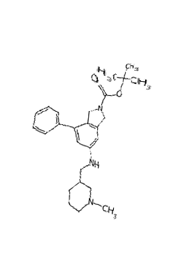 CN1CCCC(CNc2cc3c(c(-c4ccccc4)c2)CN(C(=O)OC(C)(C)C)C3)C1